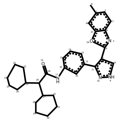 Cc1ccc2nc(-c3c[nH]nc3-c3cccc(NC(=O)C(C4CCCCC4)C4CCCCC4)c3)oc2c1